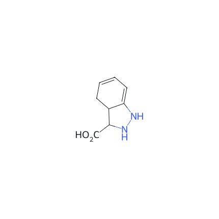 O=C(O)C1NNC2=CC=CCC21